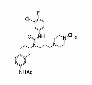 CC(=O)Nc1ccc2c(c1)CC(N(CCCN1CCN(C)CC1)C(=O)Nc1ccc(F)c(Cl)c1)CC2